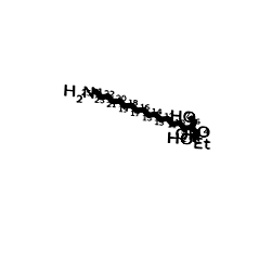 CC[C@H](O)C(=O)C(CO)[C@H](O)CCCCCCCCCCCCCCCN